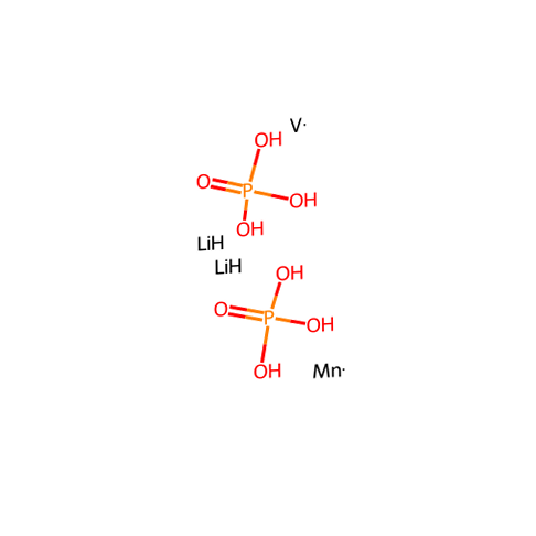 O=P(O)(O)O.O=P(O)(O)O.[LiH].[LiH].[Mn].[V]